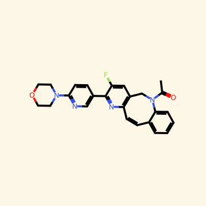 CC(=O)N1Cc2cc(F)c(-c3ccc(N4CCOCC4)nc3)nc2C=Cc2ccccc21